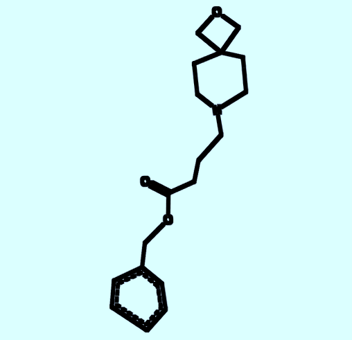 O=C(CCCN1CCC2(CC1)COC2)OCc1ccccc1